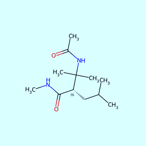 CNC(=O)[C@@H](CC(C)C)C(C)(C)NC(C)=O